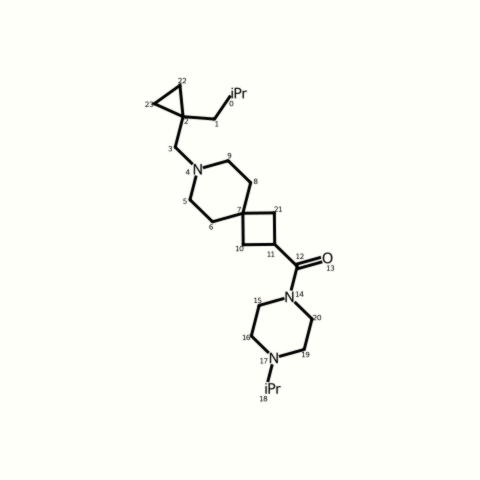 CC(C)CC1(CN2CCC3(CC2)CC(C(=O)N2CCN(C(C)C)CC2)C3)CC1